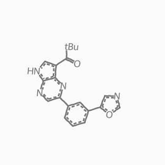 CC(C)(C)C(=O)c1c[nH]c2ncc(-c3cccc(-c4cnco4)c3)nc12